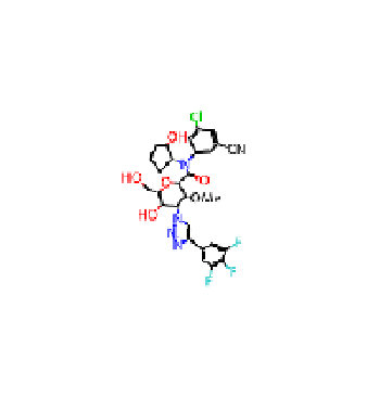 CO[C@@H]1[C@@H](n2cc(-c3cc(F)c(F)c(F)c3)nn2)[C@@H](O)[C@@H](CO)O[C@H]1C(=O)N(c1cc(Cl)cc(C#N)c1)[C@H]1CCC[C@@H]1O